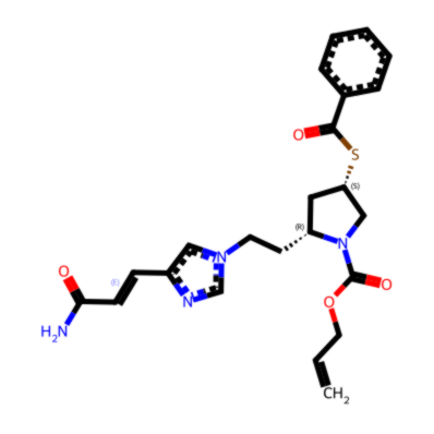 C=CCOC(=O)N1C[C@@H](SC(=O)c2ccccc2)C[C@H]1CCn1cnc(/C=C/C(N)=O)c1